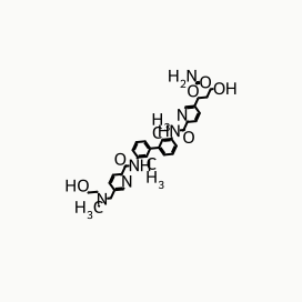 Cc1c(NC(=O)c2ccc(CN(C)CCO)cn2)cccc1-c1cccc(NC(=O)c2ccc(C(CCO)OC(N)=O)cn2)c1C